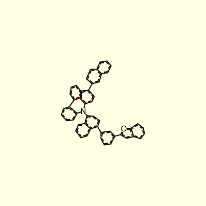 c1ccc(-c2ccccc2N(c2ccc(-c3ccc4ccccc4c3)cc2)c2ccc(-c3cccc(-c4cc5ccccc5o4)c3)c3ccccc23)cc1